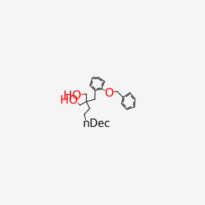 CCCCCCCCCCCCC(CO)(CO)Cc1ccccc1OCc1ccccc1